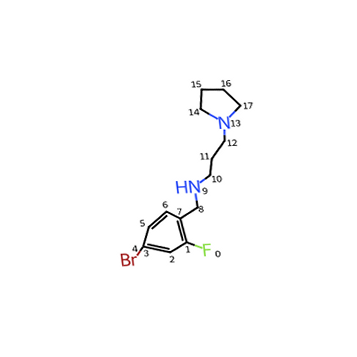 Fc1cc(Br)ccc1CNCCCN1CCCC1